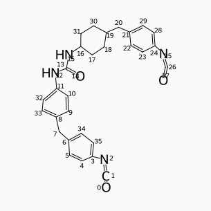 O=C=Nc1ccc(Cc2ccc(NC(=O)NC3CCC(Cc4ccc(N=C=O)cc4)CC3)cc2)cc1